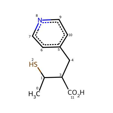 CC(S)C(Cc1ccncc1)C(=O)O